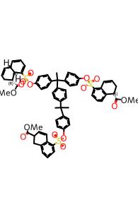 COC(=O)C1C=Cc2c(cccc2S(=O)(=O)Oc2ccc(C(C)(C)c3ccc(C(C)(c4ccc(OS(=O)(=O)C5=CC=C[C@H]6C=CC[C@@H](C(=O)OC)[C@H]56)cc4)c4ccc(OS(=O)(=O)c5cccc6c5C=CC[C@@H]6C(=O)OC)cc4)cc3)cc2)C1